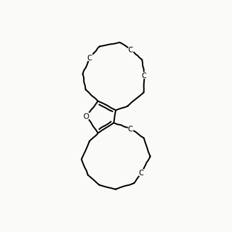 C1CCCCCc2c(oc3c2CCCCCCCCCC3)CCCC1